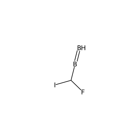 B=BC(F)I